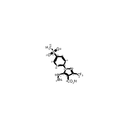 CCC(C)Nc1c(C(=O)O)c(C(F)(F)F)nn1-c1ccc(S(C)(=O)=O)cn1